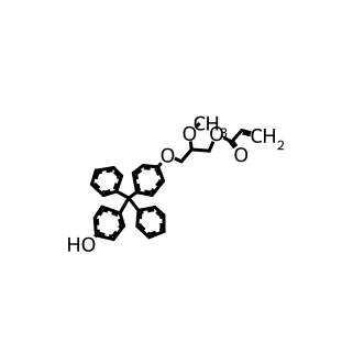 C=CC(=O)OCC(COc1ccc(C(c2ccccc2)(c2ccccc2)c2ccc(O)cc2)cc1)OC